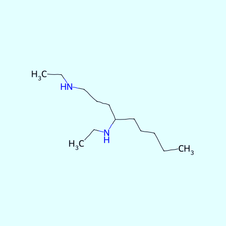 CCCCCC(CCCNCC)NCC